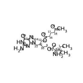 CC[C@H](C)[C@H](N)C(=O)OCCC(COC(=O)CCCC(C)=O)Cn1cnc2c(=O)[nH]c(N)nc21